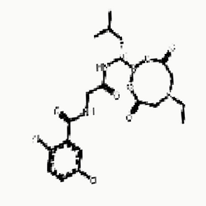 CCN1CC(=O)OB([C@@H](CC(C)C)NC(=O)CNC(=O)c2cc(Cl)ccc2Cl)OC(=O)C1